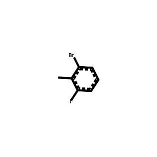 Cc1c(Br)cccc1I